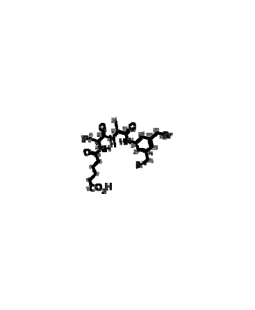 CC(C)[C@H](NC(=O)CCCCC(=O)O)C(=O)N[C@@H](C)C(=O)Nc1cc(CBr)cc(CBr)c1